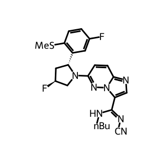 CCCCN/C(=N\C#N)c1cnc2ccc(N3C[C@@H](F)C[C@@H]3c3cc(F)ccc3SC)nn12